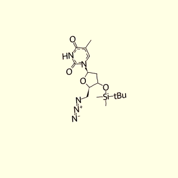 Cc1cn([C@H]2CC(O[Si](C)(C)C(C)(C)C)[C@@H](CN=[N+]=[N-])O2)c(=O)[nH]c1=O